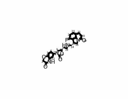 O=C1COc2ccc(N3C[C@H](CCNC[C@H]4Cn5c(=O)ccc6ccc(F)c4c65)OC3=O)cc2N1